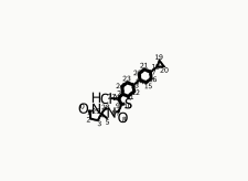 O=C1CCC2(CN(C(=O)c3sc4cc(-c5ccc(C6CC6)cc5)ccc4c3Cl)C2)N1